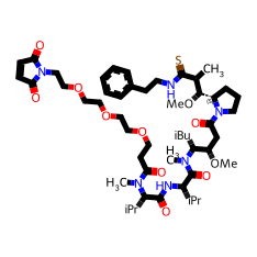 CCC(C)C(C(CC(=O)N1CCC[C@H]1C(OC)C(C)C(=S)NCCc1ccccc1)OC)N(C)C(=O)C(NC(=O)C(C(C)C)N(C)C(=O)CCOCCOCCOCCN1C(=O)C=CC1=O)C(C)C